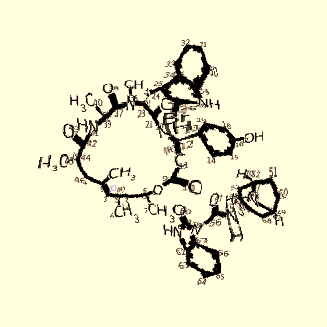 C/C1=C\[C@H](C)C[C@H](C)OC(=O)C[C@H](c2ccc(O)cc2)NC(=O)[C@@H](Cc2c(Br)[nH]c3ccccc23)N(C)C(=O)[C@H](C)NC(=O)[C@@H](C)C1.CN1[C@@H]2CC[C@H]1C[C@@H](NC(=O)n1c(=O)[nH]c3ccccc31)C2